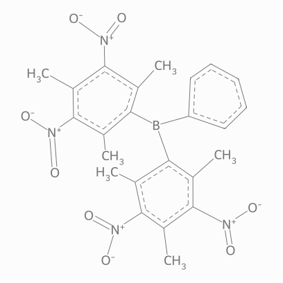 Cc1c(B(c2ccccc2)c2c(C)c([N+](=O)[O-])c(C)c([N+](=O)[O-])c2C)c(C)c([N+](=O)[O-])c(C)c1[N+](=O)[O-]